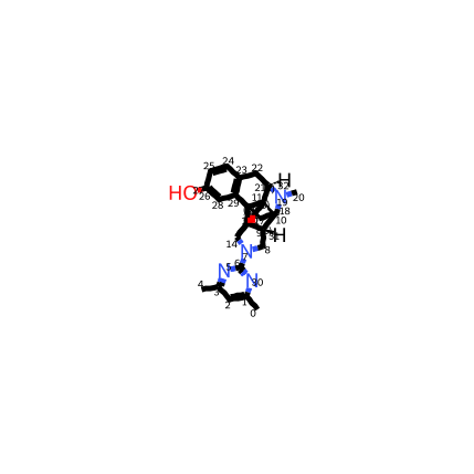 Cc1cc(C)nc(N2C[C@H]3C[C@@]45CCC2C3[C@@]42CCN(C)[C@@H]5Cc3ccc(O)cc32)n1